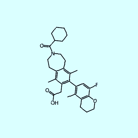 Cc1c(-c2c(C)c3c(c(C)c2CC(=O)O)CCN(C(=O)C2CCCCC2)CC3)cc(F)c2c1CCCO2